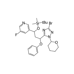 CC(C)(C)[Si](C)(C)OC(CC(Oc1ccccc1)c1nc(Br)nn1C1CCCCO1)c1cncc(F)c1